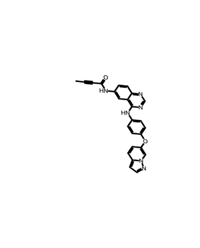 CC#CC(=O)Nc1ccc2ncnc(Nc3ccc(Oc4ccc5ccnn5c4)cc3)c2c1